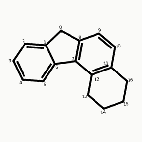 [CH]1c2ccccc2-c2c1ccc1c2CCCC1